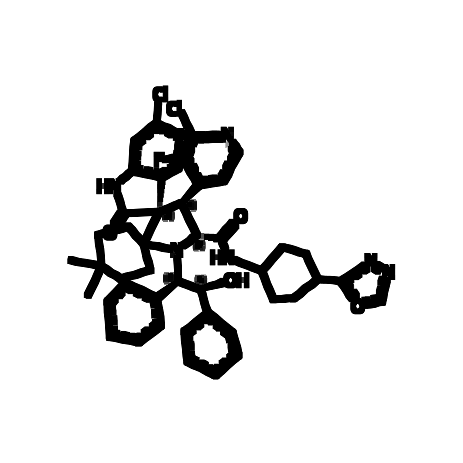 CC1(C)CCC2(CC1)N([C@H](c1ccccc1)[C@@H](O)c1ccccc1)[C@@H](C(=O)NC1CCC(c3nnco3)CC1)[C@H](c1ccnc(Cl)c1F)[C@]21C(=O)Nc2cc(Cl)ncc21